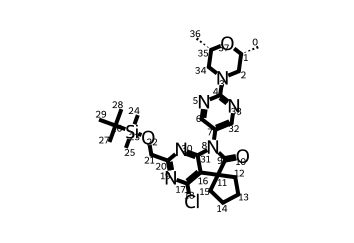 C[C@@H]1CN(c2ncc(N3C(=O)C4(CCCC4)c4c(Cl)nc(CO[Si](C)(C)C(C)(C)C)nc43)cn2)C[C@H](C)O1